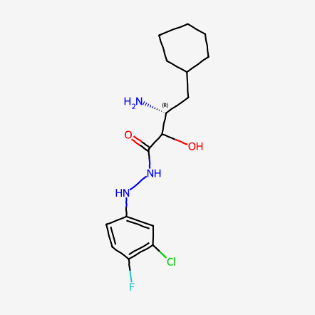 N[C@H](CC1CCCCC1)C(O)C(=O)NNc1ccc(F)c(Cl)c1